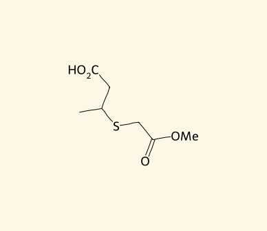 COC(=O)CSC(C)CC(=O)O